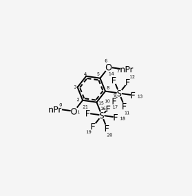 CCCOc1ccc(OCCC)c(S(F)(F)(F)(F)F)c1S(F)(F)(F)(F)F